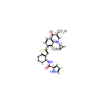 COc1c(-c2cc3c(s2)CCCC3NC(=O)c2ccc[nH]2)ccc2c(=O)c(C(=O)O)cn(C3CC3)c12